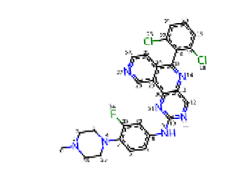 CN1CCN(c2ccc(Nc3ncc4nc(-c5c(Cl)cccc5Cl)c5ccncc5c4n3)cc2F)CC1